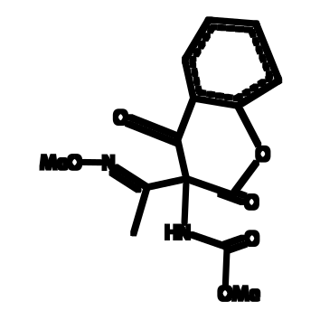 CON=C(C)C1(NC(=O)OC)C(=O)Oc2ccccc2C1=O